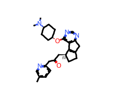 Cc1ccc(CC(=O)C[C@@H]2CCC3=C2c2c(ncnc2O[C@H]2CC[C@H](N(C)C)CC2)C3)nc1